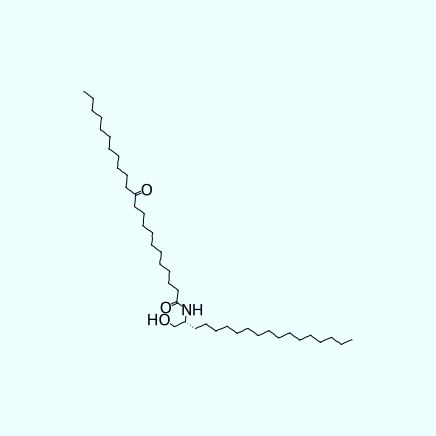 CCCCCCCCCCCCCCCC[C@H](CO)NC(=O)CCCCCCCCCCC(=O)CCCCCCCCCCC